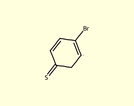 S=C1C=CC(Br)=[C]C1